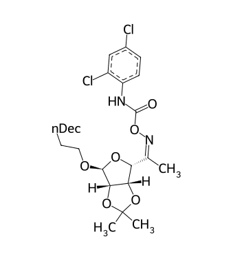 CCCCCCCCCCCCO[C@H]1O[C@H](/C(C)=N\OC(=O)Nc2ccc(Cl)cc2Cl)[C@@H]2OC(C)(C)O[C@H]12